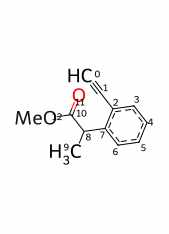 C#Cc1ccccc1C(C)C(=O)OC